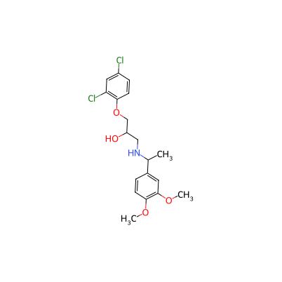 COc1ccc(C(C)NCC(O)COc2ccc(Cl)cc2Cl)cc1OC